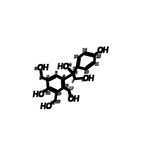 OCc1cc(C(O)(CO)c2ccc(O)cc2)c(CO)c(CO)c1O